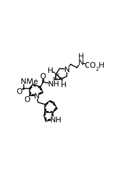 CNC(=O)c1cc(C(=O)N[C@@H]2[C@@H]3CN(CCNC(=O)O)C[C@@H]32)cn(Cc2cccc3[nH]ccc23)c1=O